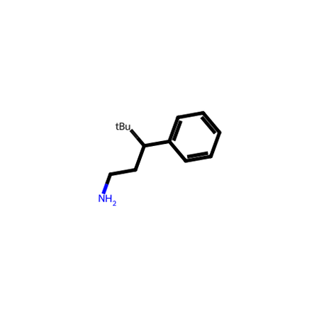 CC(C)(C)C(CCN)c1ccccc1